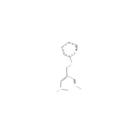 C/N=C/C(=C\N(C)C)CNc1ccccn1